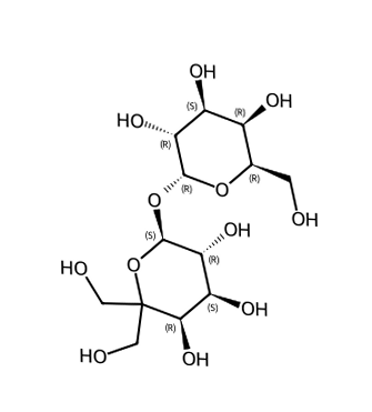 OC[C@H]1O[C@H](O[C@@H]2OC(CO)(CO)[C@H](O)[C@H](O)[C@H]2O)[C@H](O)[C@@H](O)[C@H]1O